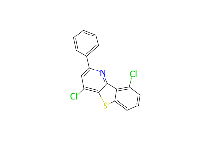 Clc1cc(-c2ccccc2)nc2c1sc1cccc(Cl)c12